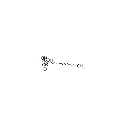 CCCCCCCCCCCCCCCCCCC[C@@H](O)[C@H]1O[C@@H](c2ccccc2)OC[C@H]1OS(C)(=O)=O